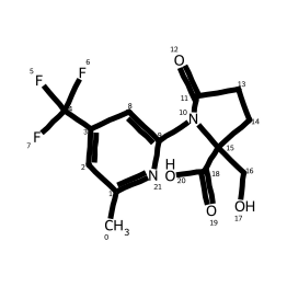 Cc1cc(C(F)(F)F)cc(N2C(=O)CCC2(CO)C(=O)O)n1